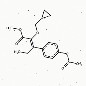 CC/C(=C(/OCC1CC1)C(=O)OC)c1ccc(OS(C)=O)cc1